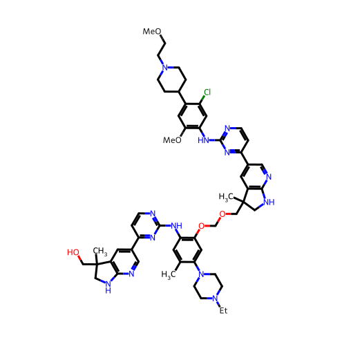 CCN1CCN(c2cc(OCOCC3(C)CNc4ncc(-c5ccnc(Nc6cc(Cl)c(C7CCN(CCOC)CC7)cc6OC)n5)cc43)c(Nc3nccc(-c4cnc5c(c4)C(C)(CO)CN5)n3)cc2C)CC1